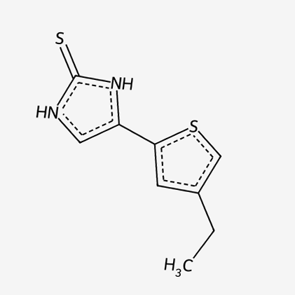 CCc1csc(-c2c[nH]c(=S)[nH]2)c1